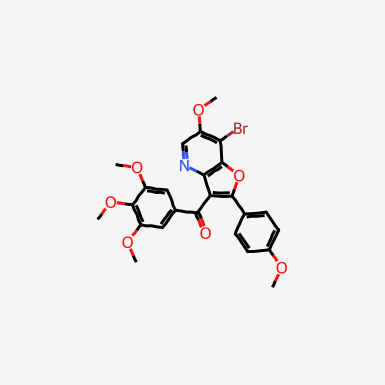 COc1ccc(-c2oc3c(Br)c(OC)cnc3c2C(=O)c2cc(OC)c(OC)c(OC)c2)cc1